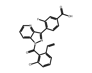 C=Cc1cccc(Cl)c1C(=O)n1nc(-c2ccc(C(=O)O)cc2F)c2ncccc21